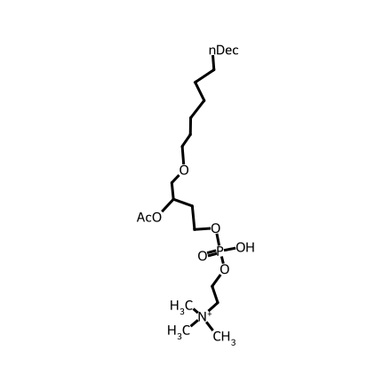 CCCCCCCCCCCCCCCCOCC(CCOP(=O)(O)OCC[N+](C)(C)C)OC(C)=O